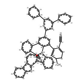 CC1C=C(c2cc(-c3nc(-c4ccccc4)cc(-c4ccccc4)n3)cc(-c3ccccc3C#N)c2-n2c3ccccc3c3c4sc5ccccc5c4ccc32)C(C#N)=CC1